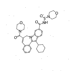 O=C(N[S+]([O-])N1CCOCC1)c1ccc2c(C3CCCCC3)c3n(c2c1)CC(C(=O)N1CCOCC1)=Cc1ccccc1-3